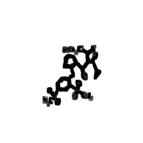 CCOC(=O)c1noc(C2CC2)c1C(=O)c1ccccc1Cc1ccc(S(C)(=O)=O)cc1S(C)(=O)=O